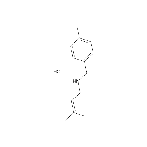 CC(C)=CCNCc1ccc(C)cc1.Cl